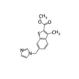 COC(=O)c1sc2cc(Cn3ccnc3)ccc2c1C